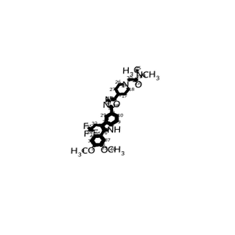 COc1ccc(-c2[nH]c3ccc(-c4nnc(C5CCN(CC(=O)N(C)C)CC5)o4)cc3c2CC(F)(F)F)cc1OC